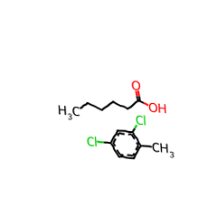 CCCCCC(=O)O.Cc1ccc(Cl)cc1Cl